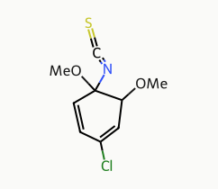 COC1C=C(Cl)C=CC1(N=C=S)OC